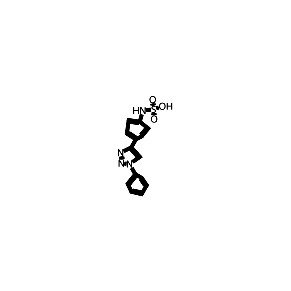 O=S(=O)(O)Nc1ccc(-c2cn(-c3ccccc3)nn2)cc1